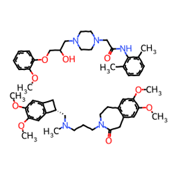 COc1cc2c(cc1OC)CC(=O)N(CCCN(C)C[C@H]1Cc3cc(OC)c(OC)cc31)CC2.COc1ccccc1OCC(O)CN1CCN(CC(=O)Nc2c(C)cccc2C)CC1